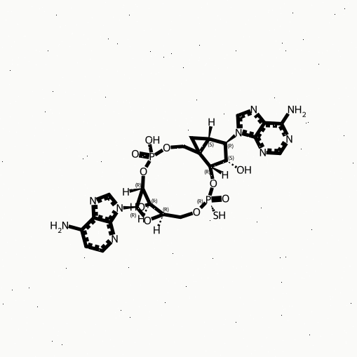 Nc1ncnc2c1ncn2[C@H]1[C@H](O)[C@@H]2O[P@](=O)(S)OC[C@H]3O[C@@H](n4cnc5c(N)ccnc54)[C@H](OP(=O)(O)OCC24C[C@H]14)[C@@H]3O